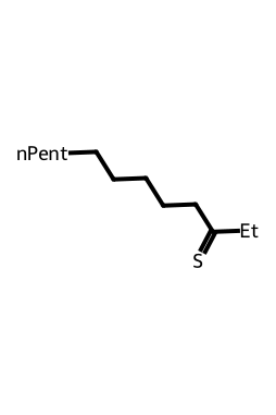 [CH2]CC(=S)CCCCCCCCCC